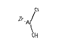 [OH][Al][Cl].[Zr]